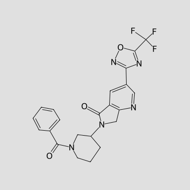 O=C(c1ccccc1)N1CCCC(N2Cc3ncc(-c4noc(C(F)(F)F)n4)cc3C2=O)C1